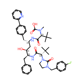 CN(C(=O)O)[C@H](C(=O)N[C@@H](Cc1ccc(-c2ccccn2)cc1)C[C@H](O)[C@H](Cc1ccccc1)NC(=O)[C@@H](N1CCN(Cc2ccc(F)cc2)C1=O)C(C)(C)C)C(C)(C)C